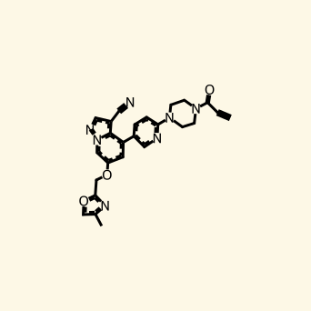 C#CC(=O)N1CCN(c2ccc(-c3cc(OCc4nc(C)co4)cn4ncc(C#N)c34)cn2)CC1